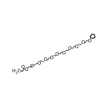 C=CC(=O)OCCOCCOCCOCCOCCOCCOCCOCCOCCOCCOc1ccccc1